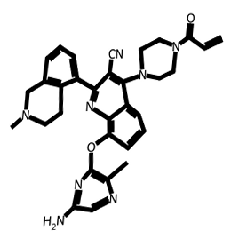 C=CC(=O)N1CCN(c2c(C#N)c(-c3cccc4c3CCN(C)C4)nc3c(Oc4nc(N)cnc4C)cccc23)CC1